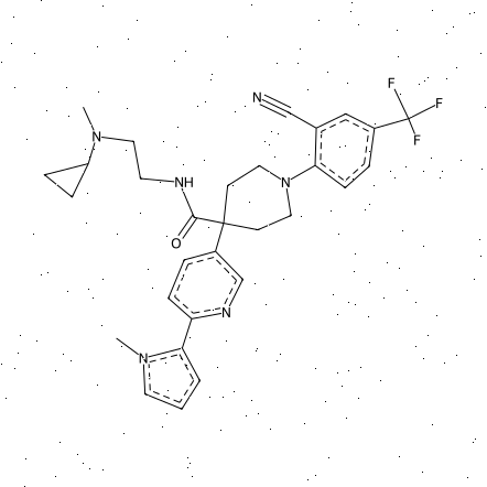 CN(CCNC(=O)C1(c2ccc(-c3cccn3C)nc2)CCN(c2ccc(C(F)(F)F)cc2C#N)CC1)C1CC1